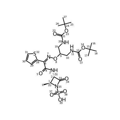 C[C@H]1[C@H](NC(=O)C(=NOC(CNC(=O)OC(C)(C)C)CNC(=O)OC(C)(C)C)c2cccs2)C(=O)N1S(=O)(=O)O